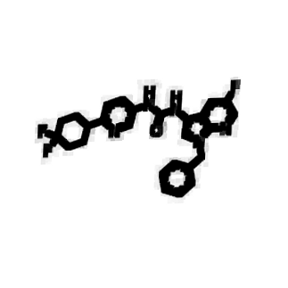 O=C(Nc1ccc(C2CCC(F)(F)CC2)nc1)Nc1cn(Cc2ccccc2)c2ncc(F)cc12